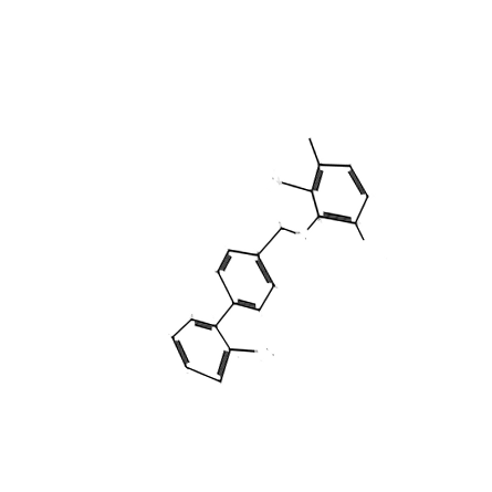 Cc1ccc(C(=O)O)c(NCc2ccc(-c3ccccc3C#N)cc2)c1[N+](=O)[O-]